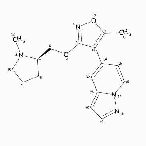 Cc1onc(OC[C@H]2CCCN2C)c1-c1ccn2nccc2c1